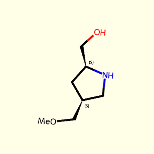 COC[C@@H]1CN[C@H](CO)C1